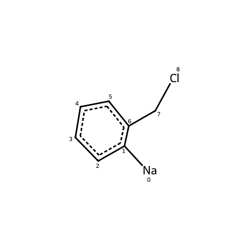 [Na][c]1ccccc1CCl